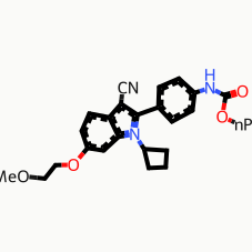 CCCOC(=O)Nc1ccc(-c2c(C#N)c3ccc(OCCOC)cc3n2C2CCC2)cc1